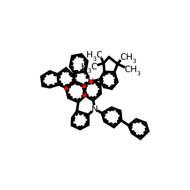 CC1(C)CC(C)(C)c2c(-n3c4ccccc4c4ccc(-c5ccccc5N(c5ccc(-c6ccccc6)cc5)c5cccc(-c6ccc7ccccc7c6)c5)cc43)cccc21